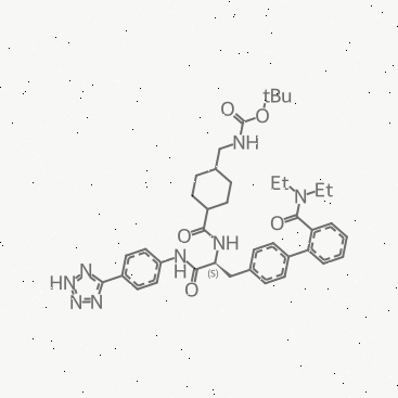 CCN(CC)C(=O)c1ccccc1-c1ccc(C[C@H](NC(=O)C2CCC(CNC(=O)OC(C)(C)C)CC2)C(=O)Nc2ccc(-c3nn[nH]n3)cc2)cc1